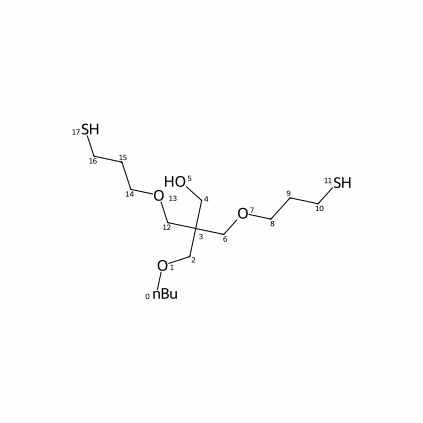 CCCCOCC(CO)(COCCCS)COCCCS